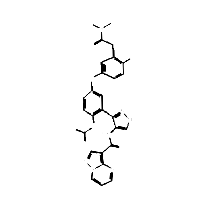 Cc1ccc(Oc2ccc(OC(F)F)c(-c3n[nH]cc3NC(=O)c3cnn4cccnc34)c2)cc1CC(=O)N(C)C